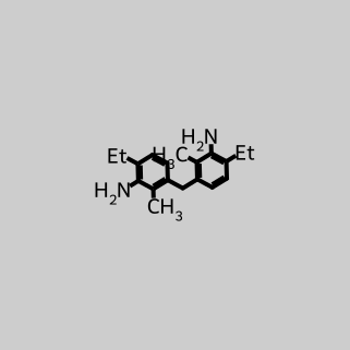 CCc1ccc(Cc2ccc(CC)c(N)c2C)c(C)c1N